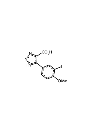 COc1ccc(-c2[nH]nnc2C(=O)O)cc1I